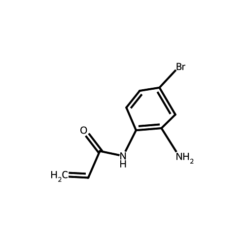 C=CC(=O)Nc1ccc(Br)cc1N